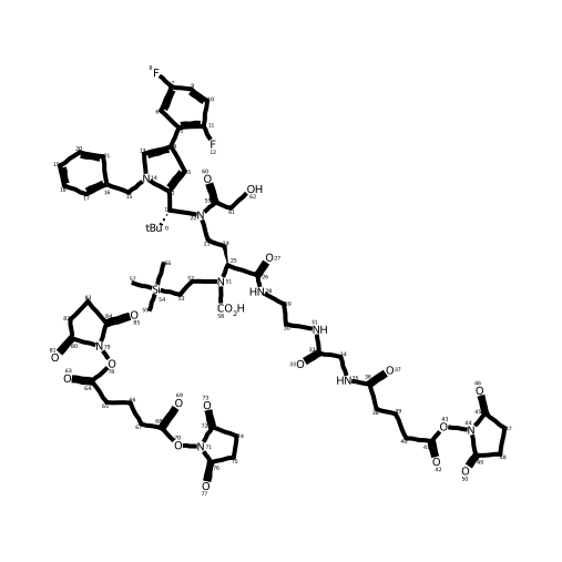 CC(C)(C)[C@H](c1cc(-c2cc(F)ccc2F)cn1Cc1ccccc1)N(CC[C@@H](C(=O)NCCNC(=O)CNC(=O)CCCC(=O)ON1C(=O)CCC1=O)N(CC[Si](C)(C)C)C(=O)O)C(=O)CO.O=C(CCCC(=O)ON1C(=O)CCC1=O)ON1C(=O)CCC1=O